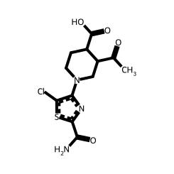 CC(=O)C1CN(c2nc(C(N)=O)sc2Cl)CCC1C(=O)O